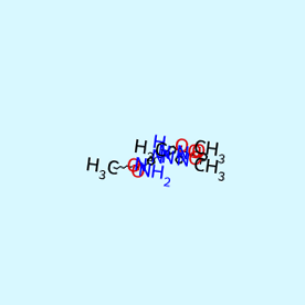 CCCCCCOC(=O)/N=C(\N)c1ccc(NCc2nc3cc(C(=O)N(CCC(=O)Oc4c(C)cccc4OC)c4ccccn4)ccc3n2C)cc1